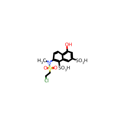 CN(c1ccc2c(O)cc(S(=O)(=O)O)cc2c1S(=O)(=O)O)S(=O)(=O)CCCl